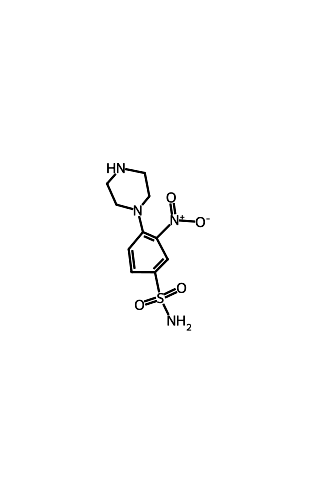 NS(=O)(=O)c1ccc(N2CCNCC2)c([N+](=O)[O-])c1